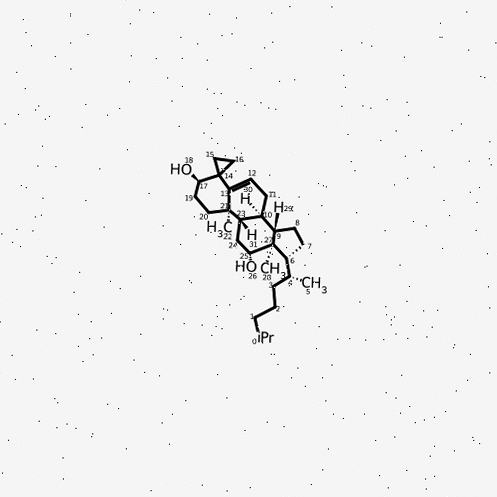 CC(C)CCC[C@@H](C)[C@H]1CC[C@H]2[C@@H]3CC=C4C5(CC5)[C@H](O)CC[C@]4(C)[C@H]3C[C@@H](O)[C@]12C